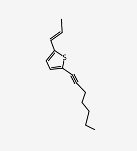 C/C=C/c1ccc(C#CCCCCC)s1